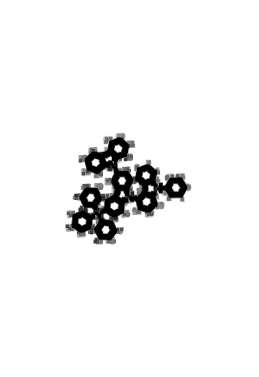 c1ccc(-n2c3ccccc3c3c(-n4c5ccc(-n6c7ccccc7c7ccccc76)cc5c5cc([Si](c6ccccc6)(c6ccccc6)c6ccccc6)ccc54)cccc32)cc1